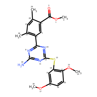 COC(=O)c1cc(-c2nc(N)nc(Sc3cc(OC)ccc3OC)n2)c(C)cc1C